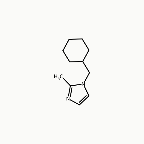 Cc1nccn1CC1CCCCC1